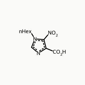 CCCCCCn1cnc(C(=O)O)c1[N+](=O)[O-]